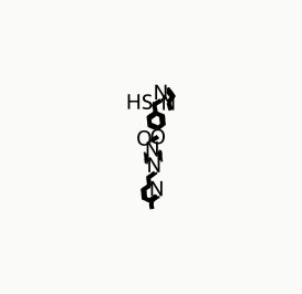 Cc1ccc(CCN2CCN(C(=O)Oc3ccc(C(S)c4nccn4C)cc3)CC2)nc1